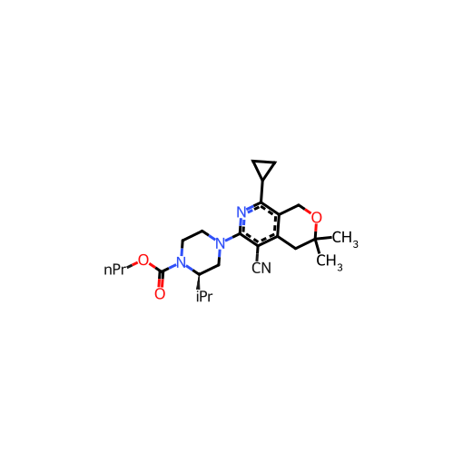 CCCOC(=O)N1CCN(c2nc(C3CC3)c3c(c2C#N)CC(C)(C)OC3)C[C@H]1C(C)C